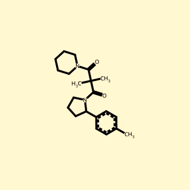 Cc1ccc(C2CCCN2C(=O)C(C)(C)C(=O)N2CCCCC2)cc1